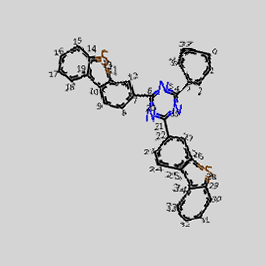 c1ccc(-c2nc(-c3ccc4c(c3)sc3ccccc34)nc(-c3ccc4c(c3)sc3ccccc34)n2)cc1